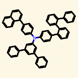 c1ccc(-c2cc(-c3ccccc3)cc(N(c3ccc(-c4ccccc4-c4ccccc4-c4ccccc4)cc3)c3ccc(-c4cccc5ccccc45)cc3)c2)cc1